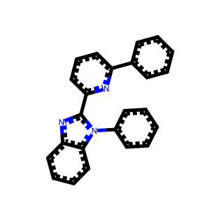 c1ccc(-c2cccc(-c3nc4ccccc4n3-c3ccccc3)n2)cc1